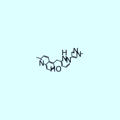 Cc1ccc2c(CC3=C(O)C=CN(c4cnn(C)c4)N3)cccc2n1